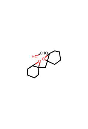 C1CCC2(CC34CCCCC3O4)OC2C1.O=CO